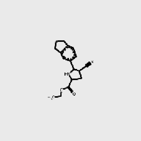 CCOC(=O)C1CC(C#N)C(c2ccc3c(c2)CCC3)N1